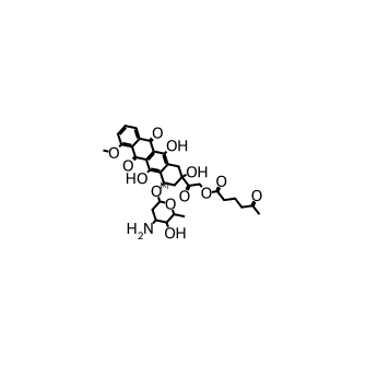 COc1cccc2c1C(=O)c1c(O)c3c(c(O)c1C2=O)CC(O)(C(=O)COC(=O)CCCC(C)=O)C[C@H]3OC1CC(N)C(O)C(C)O1